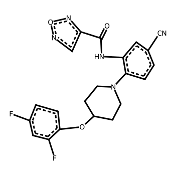 N#Cc1ccc(N2CCC(Oc3ccc(F)cc3F)CC2)c(NC(=O)c2cnon2)c1